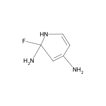 NC1=CC(N)(F)NC=C1